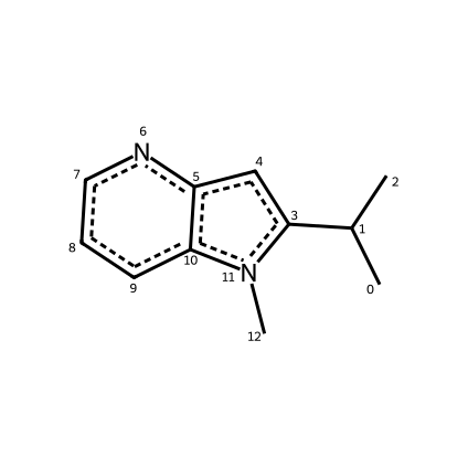 CC(C)c1cc2ncccc2n1C